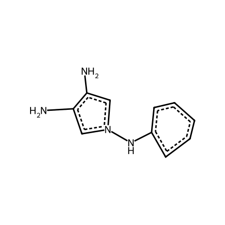 Nc1cn(Nc2ccccc2)cc1N